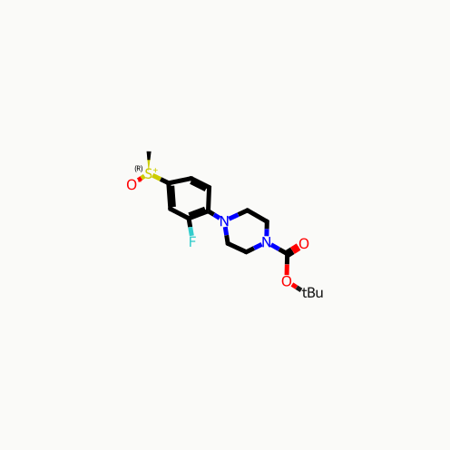 C[S@+]([O-])c1ccc(N2CCN(C(=O)OC(C)(C)C)CC2)c(F)c1